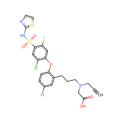 C#CCN(CCCc1cc(Cl)ccc1Oc1cc(F)c(S(=O)(=O)Nc2nccs2)cc1Cl)CC(=O)O